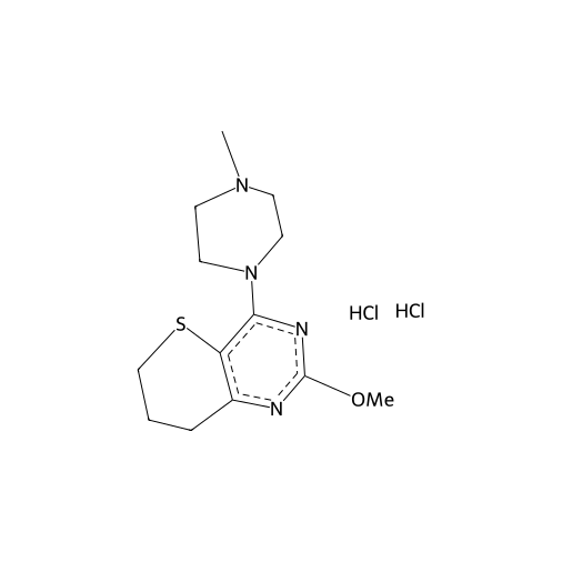 COc1nc2c(c(N3CCN(C)CC3)n1)SCCC2.Cl.Cl